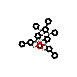 c1ccc(-c2ccc3c(c2)Oc2cccc4c2B3c2ccc3c(c2O4)B2c4c(cc(-c5ccccc5)cc4N(c4ccccc4)c4ccc5c(c42)Oc2cccc4c2B5c2ccc(-c5ccccc5)cc2O4)N3c2ccccc2)cc1